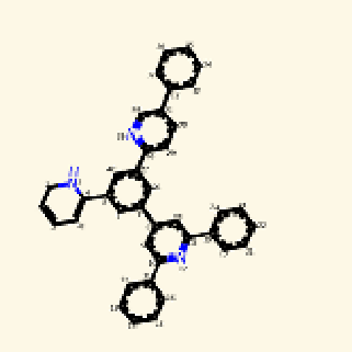 C1=CCNC(c2cc(-c3cc(-c4ccccc4)nc(-c4ccccc4)c3)cc(-c3ccc(-c4ccccc4)cn3)c2)=C1